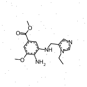 CCn1cncc1CNc1cc(C(=O)OC)cc(OC)c1N